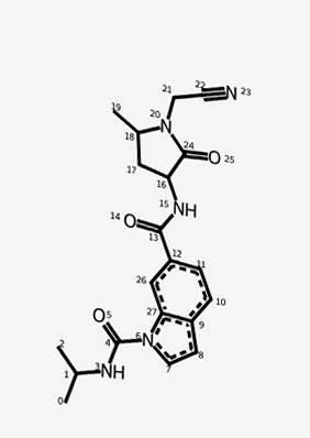 CC(C)NC(=O)n1ccc2ccc(C(=O)NC3CC(C)N(CC#N)C3=O)cc21